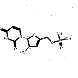 O=c1ccn([C@@H]2OC(COP(=O)(O)O)=C[C@H]2O)c(=O)[nH]1